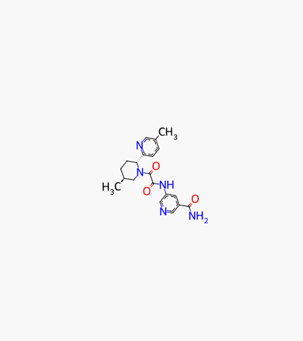 Cc1ccc([C@H]2CC[C@H](C)CN2C(=O)C(=O)Nc2cncc(C(N)=O)c2)nc1